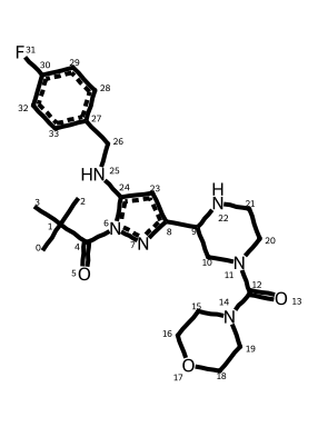 CC(C)(C)C(=O)n1nc(C2CN(C(=O)N3CCOCC3)CCN2)cc1NCc1ccc(F)cc1